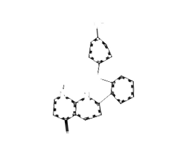 Cn1ccc(=O)c2ccc(-c3ccccc3Oc3ccc(C(F)(F)F)cc3)nc21